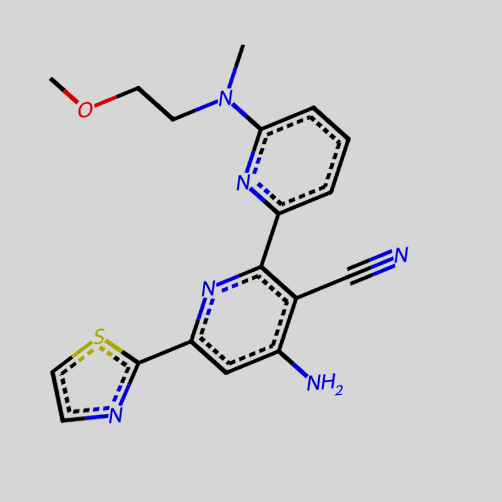 COCCN(C)c1cccc(-c2nc(-c3nccs3)cc(N)c2C#N)n1